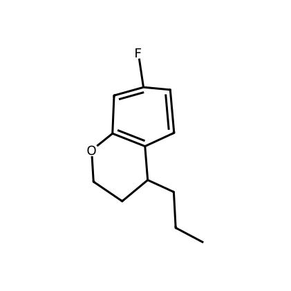 CCCC1CCOc2cc(F)ccc21